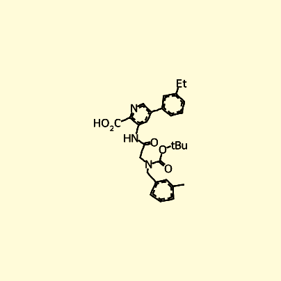 CCc1cccc(-c2cnc(C(=O)O)c(NC(=O)CN(Cc3cccc(C)c3)C(=O)OC(C)(C)C)c2)c1